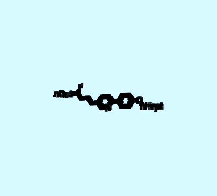 CCCCCCCCC(F)CCCc1ccc(-c2ccc(OCCCCCCC)cc2)nc1